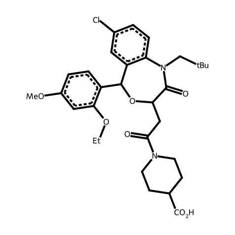 CCOc1cc(OC)ccc1C1OC(CC(=O)N2CCC(C(=O)O)CC2)C(=O)N(CC(C)(C)C)c2ccc(Cl)cc21